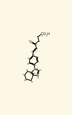 O=C(O)CCC(=O)/C=C/c1ccc(-n2cnc3c2CCCC3)cc1